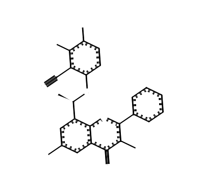 Cc1cc([C@@H](C)Nc2ccc(F)c(F)c2C#N)c2oc(-c3ccccc3)c(C)c(=O)c2c1